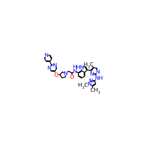 Cc1cnc(Nc2cc(C)n(C)n2)nc1-c1c[nH]c2c(NC(=O)CN3CCC(Oc4cnc(-c5ccncc5)nc4)C3)cccc12